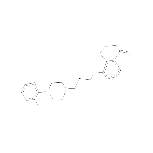 Cc1ccccc1N1CCN(CCCOc2cccc3c2CCCC3=O)CC1